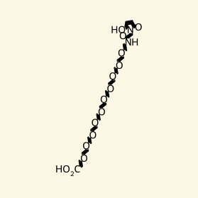 O=C(O)CCOCCOCCOCCOCCOCCOCCOCCOCCOCCOCCNC(=O)CN1C(=O)C=CC1O